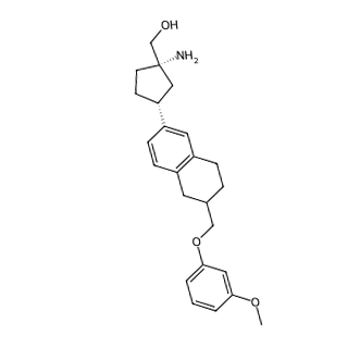 COc1cccc(OCC2CCc3cc([C@@H]4CC[C@@](N)(CO)C4)ccc3C2)c1